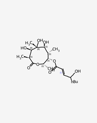 CCCCC(O)/C=C/C(=O)O[C@H]1[C@@H](C)[C@H](O)[C@@](C)(O)[C@H](O)[C@H](C)C(=O)O[C@H]1C